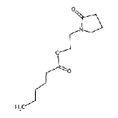 CCCCCC(=O)OCCN1CCCC1=O